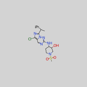 CC(C)C(C)c1nc(Cl)c2cnc(NC3CCN(S(C)(=O)=O)CC3O)nn12